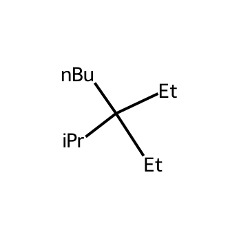 [CH2]C(C)C(CC)(CC)CCCC